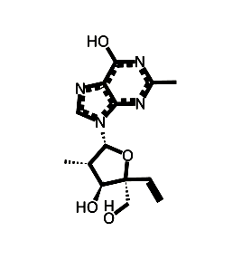 C=C[C@]1(CO)O[C@@H](n2cnc3c(O)nc(C)nc32)[C@@H](C)[C@@H]1O